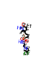 CCc1cc(C2=CCC(S(=O)(=O)NCCN3CCC(F)(F)C3)S2)c(C)[nH]c1=O